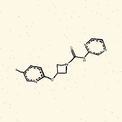 O=C(Nc1cnccn1)N1CC(Oc2ccc(I)cn2)C1